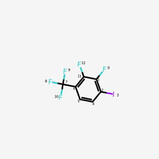 Fc1c(I)ccc(C(F)(F)F)c1F